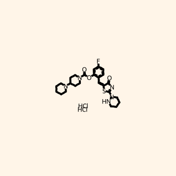 Cl.Cl.O=C1N=C(N2CCCCN2)S/C1=C/c1ccc(F)cc1OC(=O)N1CCC(N2CCCCC2)CC1